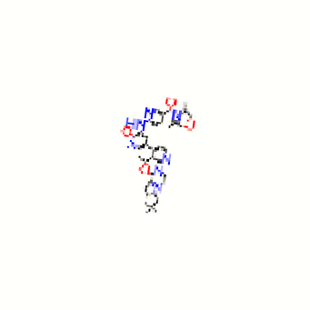 CCc1c(-c2cc(Nc3ccc(C(=O)N4[C@H](C)COC[C@@H]4C)cn3)c(=O)n(C)c2)ccnc1N1CCn2c(cc3c2CC(C)(C)C3)C1=O